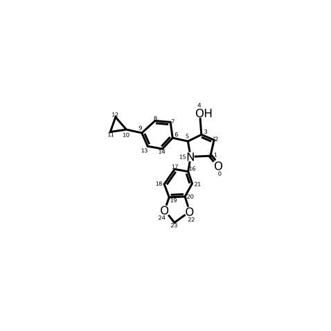 O=C1[C]=C(O)C(c2ccc(C3CC3)cc2)N1c1ccc2c(c1)OCO2